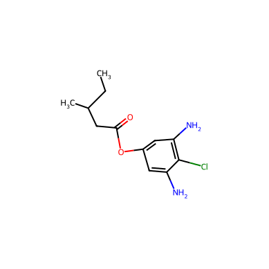 CCC(C)CC(=O)Oc1cc(N)c(Cl)c(N)c1